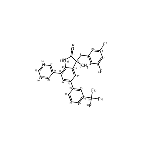 CC1(Cc2cc(F)cc(F)c2)C(=O)Nc2c(-c3cncnc3)cc(-c3cccc(C(F)(F)F)c3)cc21